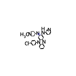 CN1CCC(/N=c2\cc3n(-c4ccc(Cl)cc4)c4ccccc4nc-3cc2Nc2cccnc2)CC1